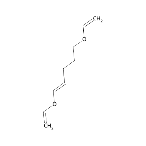 C=COC=CCCCOC=C